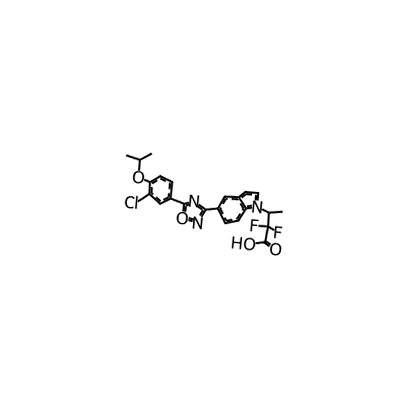 CC(C)Oc1ccc(-c2nc(-c3ccc4c(ccn4C(C)C(F)(F)C(=O)O)c3)no2)cc1Cl